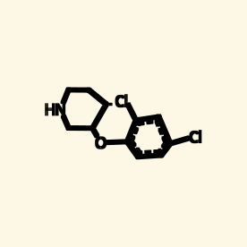 Clc1ccc(OC2[CH]CCNC2)c(Cl)c1